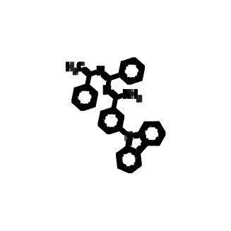 C=C(/N=C(\N=C(/N)c1cccc(-n2c3ccccc3c3ccccc32)c1)c1ccccc1)c1ccccc1